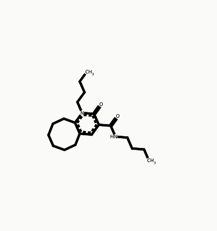 CCCCNC(=O)c1cc2c(n(CCCC)c1=O)CCCCCC2